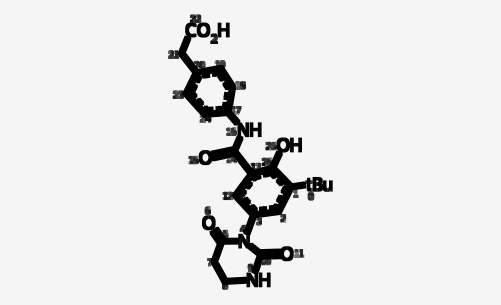 CC(C)(C)c1cc(N2C(=O)CCNC2=O)cc(C(=O)Nc2ccc(CC(=O)O)cc2)c1O